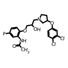 CC(=O)Nc1cc(F)ccc1OCC(O)CN1CCC(Oc2ccc(Cl)c(Cl)c2)C1